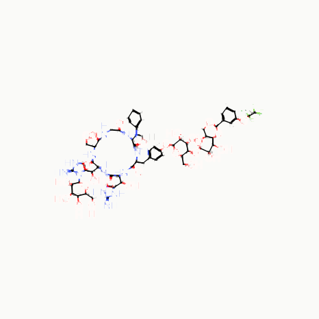 CC(c1ccccc1)C1NC(=O)CNC(=O)C(CO)NC(=O)C(C(O)C2CNC(=N)N2C2OC(CO)C(O)C(O)C2O)NC(=O)C(C(O)C2CNC(=N)N2)NC(=O)C(Cc2ccc(OC3OC(CO)C(OC4OC5COC(c6cccc(OC(F)(F)C(F)F)c6)OC5C(O)C4O)C(O)C3O)cc2)NC1=O